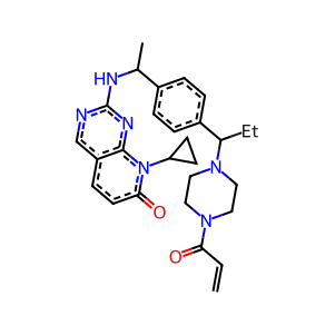 C=CC(=O)N1CCN(C(CC)c2ccc(C(C)Nc3ncc4ccc(=O)n(C5CC5)c4n3)cc2)CC1